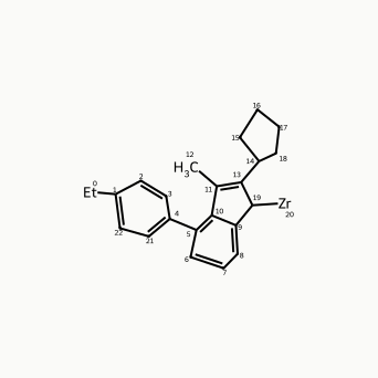 CCc1ccc(-c2cccc3c2C(C)=C(C2CCCC2)[CH]3[Zr])cc1